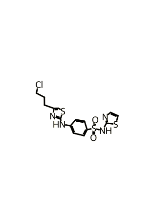 O=S(=O)(Nc1nccs1)c1ccc(Nc2nc(CCCCl)cs2)cc1